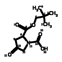 CC(C)(C)COC(=O)C1CC(=O)CN1C(=O)O